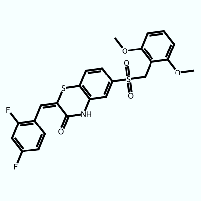 COc1cccc(OC)c1CS(=O)(=O)c1ccc2c(c1)NC(=O)/C(=C\c1ccc(F)cc1F)S2